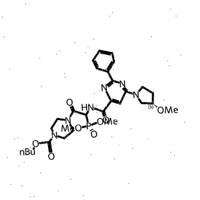 CCCCOC(=O)N1CCN(C(=O)C(NC(=O)c2cc(N3CC[C@H](OC)C3)nc(-c3ccccc3)n2)P(=O)(OC)OC)CC1